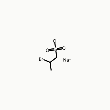 CC(Br)CS(=O)(=O)[O-].[Na+]